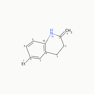 C=C1CCc2cc(CC)ccc2N1